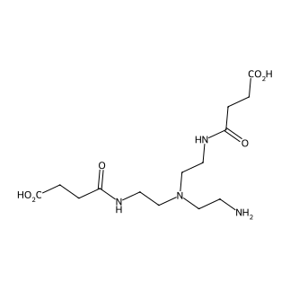 NCCN(CCNC(=O)CCC(=O)O)CCNC(=O)CCC(=O)O